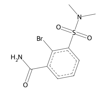 CN(C)S(=O)(=O)c1cccc(C(N)=O)c1Br